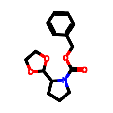 O=C(OCc1ccccc1)N1CCCC1C1OCCO1